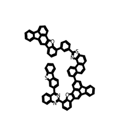 c1cc(-c2nc3c(ccc4ccc5c(-c6cc7c8c(cc9c%10cccc(-c%11nc(-c%12ccc%13c(c%12)sc%12ccccc%12%13)c%12ccccc%12n%11)c%10oc9c8c6)-c6ccccc6-7)cccc5c43)s2)cc(-c2cccc3c2oc2c4cccc5c4c(cc32)-c2ccccc2-5)c1